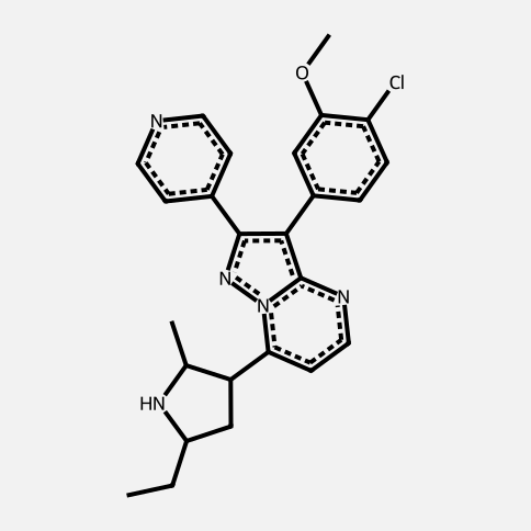 CCC1CC(c2ccnc3c(-c4ccc(Cl)c(OC)c4)c(-c4ccncc4)nn23)C(C)N1